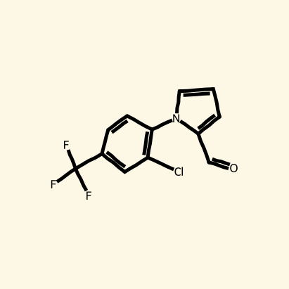 O=Cc1cccn1-c1ccc(C(F)(F)F)cc1Cl